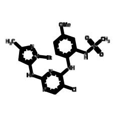 CCn1nc(C)cc1Nc1ncc(Cl)c(Nc2ccc(OC)cc2NS(C)(=O)=O)n1